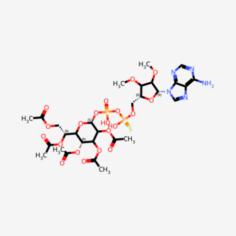 COC1C(OC)[C@@H](COP(O)(=S)OP(=O)(O)O[C@@H]2OC([C@@H](COC(C)=O)OC(C)=O)[C@@H](OC(C)=O)C(OC(C)=O)C2OC(C)=O)O[C@H]1n1cnc2c(N)ncnc21